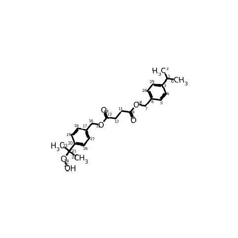 CC(C)c1ccc(COC(=O)CCC(=O)OCc2ccc(C(C)(C)OO)cc2)cc1